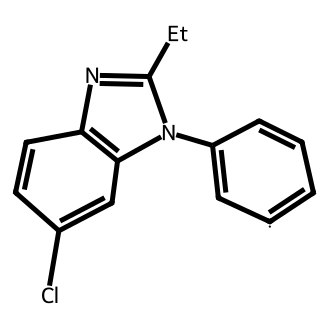 CCc1nc2ccc(Cl)cc2n1-c1c[c]ccc1